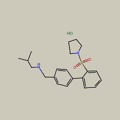 CC(C)CNCc1ccc(-c2ccccc2S(=O)(=O)N2CCCC2)cc1.Cl